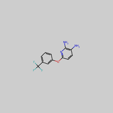 Nc1ccc(Oc2cccc(C(F)(F)F)c2)nc1N